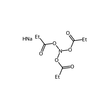 CCC(=O)ON(OC(=O)CC)OC(=O)CC.[NaH]